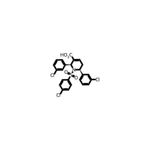 O=C(O)C1=CC[C@@H](c2cccc(Cl)c2)N(S(=O)(=O)c2ccc(Cl)cc2)[C@H]1c1cccc(Cl)c1